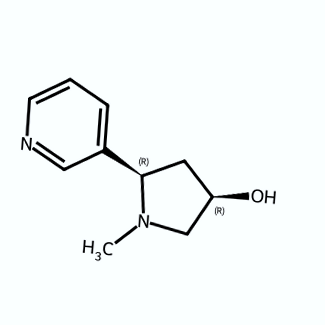 CN1C[C@H](O)C[C@@H]1c1cccnc1